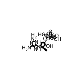 C#C[C@@]1(F)[C@H](O)[C@@H](COP(=O)(O)OP(=O)(O)OP(=O)(O)O)[C@@H](C)[C@H]1n1cnc2c(N)nc(N)nc21